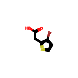 O=C(O)Cc1sccc1Br